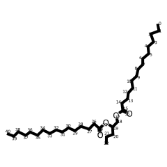 CCCCCCCCCCCCCCCC(=O)OCC(CCC)OC(=O)CCCCCCCCCCCCCCC